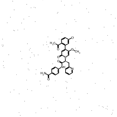 COc1cn([C@@H](Cc2ccccn2)C(=O)Nc2ccc(C(N)=O)cc2)c(=O)cc1-c1cc(Cl)ccc1C(C)=O